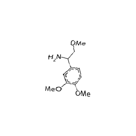 COCC(N)c1ccc(OC)c(OC)c1